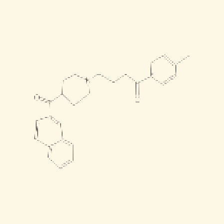 Cc1ccc(C(=O)CCCN2CCC(C(=O)c3ccc4ccccc4c3)CC2)cc1